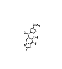 COc1cc(C(=O)C2=C(O)C(F)=C3[C]=C(C)N=C3C2)cs1